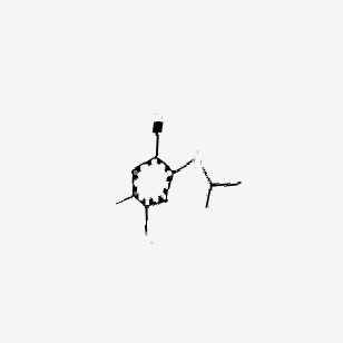 CC(C)Nc1cc(Br)c(F)cc1C#N